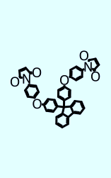 O=C1C=CC(=O)N1c1ccc(Oc2ccc(C3(c4ccc(Oc5ccc(N6C(=O)C=CC6=O)cc5)cc4)c4ccccc4-c4ccccc43)cc2)cc1